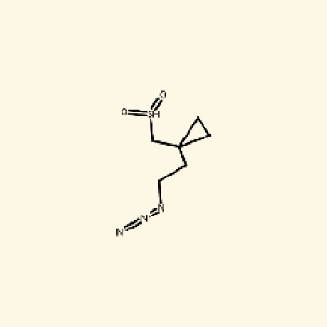 [N-]=[N+]=NCCC1(C[SH](=O)=O)CC1